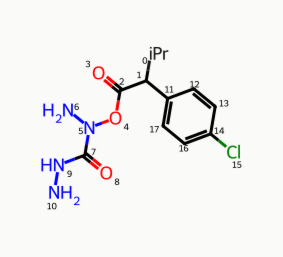 CC(C)C(C(=O)ON(N)C(=O)NN)c1ccc(Cl)cc1